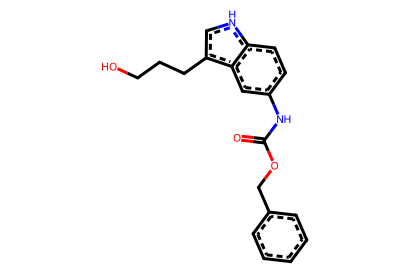 O=C(Nc1ccc2[nH]cc(CCCO)c2c1)OCc1ccccc1